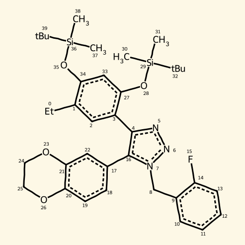 CCc1cc(-c2nnn(Cc3ccccc3F)c2-c2ccc3c(c2)OCCO3)c(O[Si](C)(C)C(C)(C)C)cc1O[Si](C)(C)C(C)(C)C